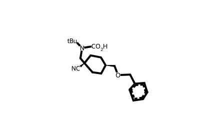 CC(C)(C)N(C[C@]1(C#N)CC[C@@H](COCc2ccccc2)CC1)C(=O)O